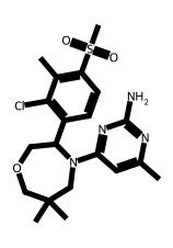 Cc1cc(N2CC(C)(C)COCC2c2ccc(S(C)(=O)=O)c(C)c2Cl)nc(N)n1